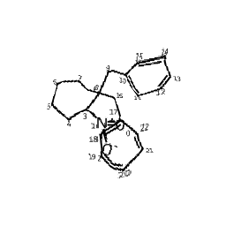 O=[N+]([O-])C1CCCCC1(Cc1ccccc1)Cc1ccccc1